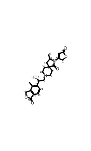 Cc1c(C(O)CN2CCC3(CC2)CC(C)N(C2=CC(=O)OC2)C3=O)ccc2c1COC2=O